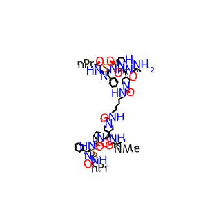 CCCC(=O)Nc1nc(-c2ccccc2)c(NC(=O)[C@@H]2CCCN2C(=O)[C@@H](NC(=O)[C@H](C)N)C2CCN(C(=O)NCCCCCCNC(=O)N3CCC([C@H](NC(=O)[C@H](C)NC)C(=O)N4CCC[C@H]4C(=O)Nc4sc(NC(=O)CCC)nc4-c4ccccc4)CC3)CC2)s1